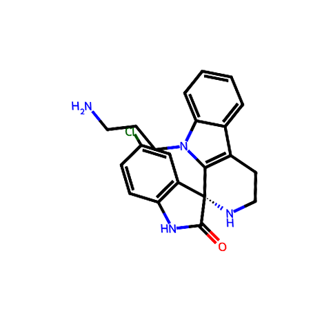 NCCCn1c2c(c3ccccc31)CCN[C@@]21C(=O)Nc2ccc(Cl)cc21